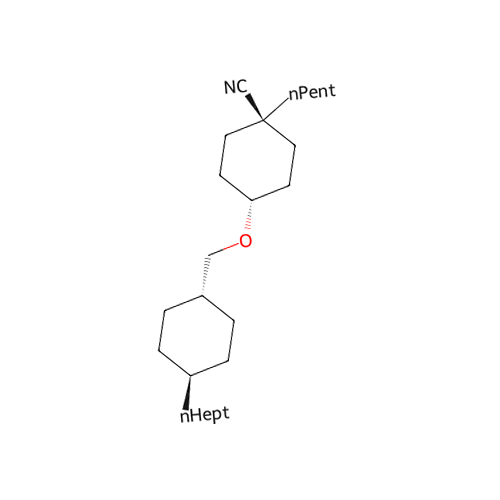 CCCCCCC[C@H]1CC[C@H](CO[C@H]2CC[C@@](C#N)(CCCCC)CC2)CC1